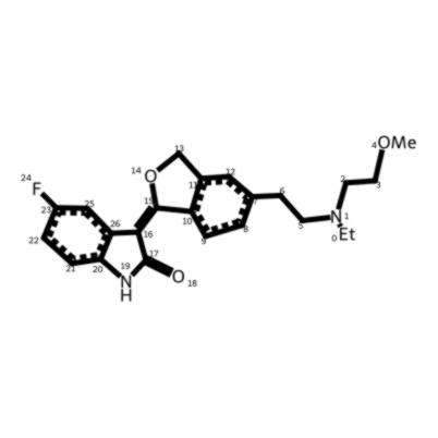 CCN(CCOC)CCc1ccc2c(c1)COC2=C1C(=O)Nc2ccc(F)cc21